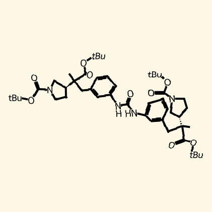 CC(C)(C)OC(=O)N1CC[C@H](C(C)(Cc2cccc(NC(=O)Nc3cccc(CC(C)(C(=O)OC(C)(C)C)[C@H]4CCN(C(=O)OC(C)(C)C)C4)c3)c2)C(=O)OC(C)(C)C)C1